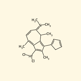 CC1=C2C(=C(C3=CC=CC3)C(C)=[C]2[Hf]([Cl])[Cl])C(C)C(=[Si](C)C)C=C1